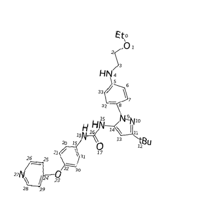 CCOCCNc1ccc(-n2nc(C(C)(C)C)cc2NC(=O)Nc2ccc(Oc3ccncc3)cc2)cc1